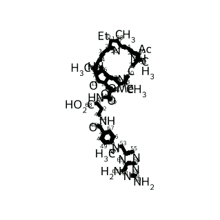 CC[C@H]1c2cc3[nH]c4c(c3C)C(=O)C(C(=O)OC)c4c3nc(cc4[nH]c(cc(n2)[C@@H]1C)c(C(C)=O)c4C)[C@@H](C)[C@@H]3CCC(=O)NC(CCNC(=O)c1ccc(N(C)Cc2cnc3nc(N)nc(N)c3n2)cc1)C(=O)O